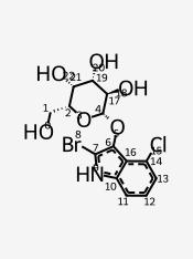 OC[C@H]1O[C@@H](Oc2c(Br)[nH]c3cccc(Cl)c23)[C@H](O)[C@@H](O)[C@H]1O